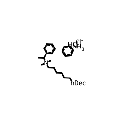 CCCCCCCCCCCCCCCC[N+](C)(C)C(C)c1ccccc1.Cl.N.[Cl-].c1ccccc1